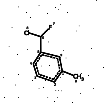 Cc1cccc(C(F)Cl)c1